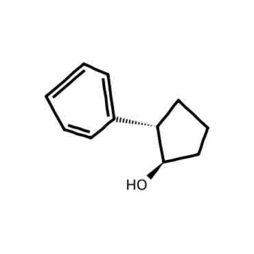 O[C@@H]1CCC[C@H]1c1ccccc1